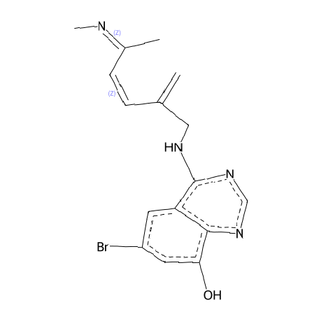 C=C(/C=C\C(C)=N/C)CNc1ncnc2c(O)cc(Br)cc12